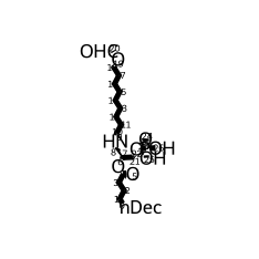 CCCCCCCCCCCCCC(=O)O[C@@H](CNCCCCCCCCCOC=O)COP(=O)(O)O